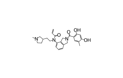 C=CC(=O)N(CCC1CCN(C)C1)c1cccc2c1CN(C(=O)c1cc(C)c(O)cc1O)C2